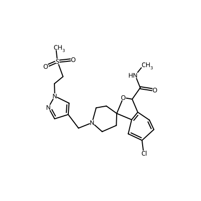 CNC(=O)C1OC2(CCN(Cc3cnn(CCS(C)(=O)=O)c3)CC2)c2cc(Cl)ccc21